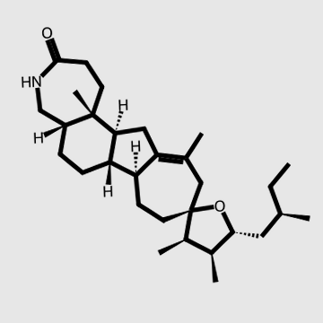 CC[C@@H](C)C[C@H]1O[C@]2(CC[C@@H]3C(=C(C)C2)C[C@H]2[C@H]3CC[C@@H]3CNC(=O)CC[C@@]32C)[C@H](C)[C@@H]1C